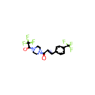 O=C(/C=C/c1ccc(C(F)(F)F)cc1)N1CCN(C(=O)C(F)(F)F)CC1